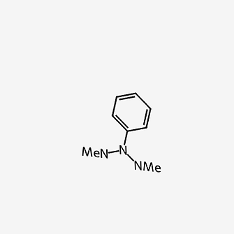 CNN(NC)c1ccccc1